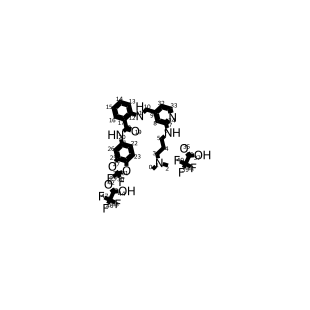 CN(C)CCCNc1cc(CNc2ccccc2C(=O)Nc2ccc3c(c2)OC(F)(F)O3)ccn1.O=C(O)C(F)(F)F.O=C(O)C(F)(F)F